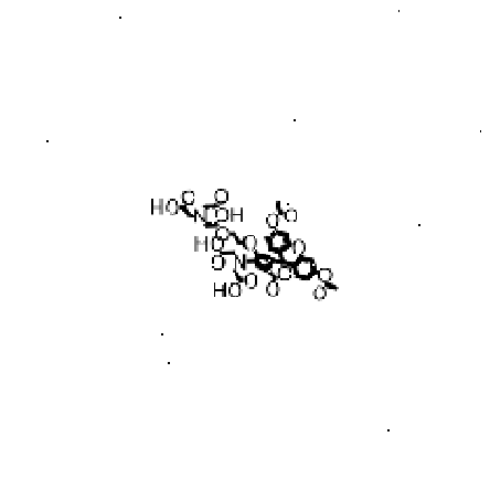 CC(=O)Oc1ccc2c(c1)Oc1cc(OC(C)=O)ccc1C21OC(=O)c2cc(N(CC(=O)O)CC(=O)O)c(OCCOCCN(CC(=O)O)CC(=O)O)cc21